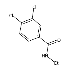 CCNC(=O)c1ccc(Cl)c(Cl)c1